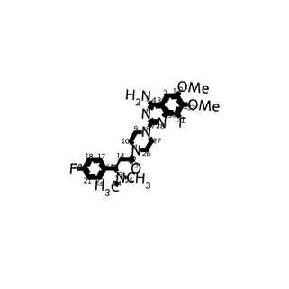 COc1cc2c(N)nc(N3CCN(C(=O)C[C@H](c4ccc(F)cc4)N(C)C)CC3)nc2c(F)c1OC